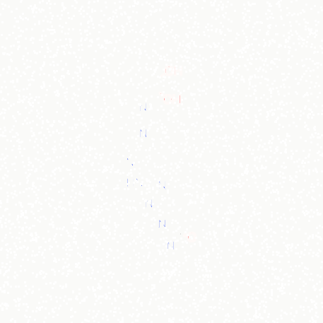 CN(C)C(=O)c1cc2cnc(Nc3ccc(N4CCN(C[C@H](O)CO)CC4)cn3)nc2n1C1CCCC1